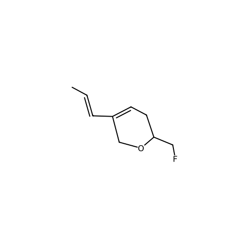 CC=CC1=CCC(CF)OC1